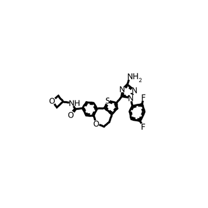 Nc1nc(-c2cc3c(s2)-c2ccc(C(=O)NC4COC4)cc2OCC3)n(-c2ccc(F)cc2F)n1